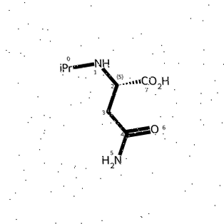 CC(C)N[C@@H](CC(N)=O)C(=O)O